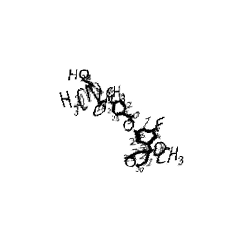 COC1(c2cc(F)cc(OCc3ccc(N(C)C(=O)N(C)CCO)cc3)c2)CCOCC1